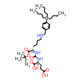 CCC[CH2][Sn]([CH2]CCC)([CH2]CCC)[c]1ccc(CNCCCC[C@H](NC(=O)N[C@@H](CCC(=O)O)C(=O)O)C(=O)OC(C)(C)C)cc1